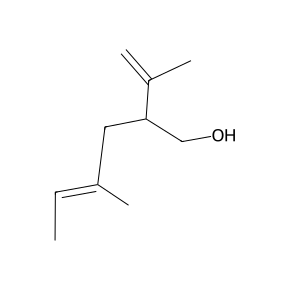 C=C(C)C(CO)C/C(C)=C/C